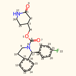 O=C1CC(COC(=O)N2CCc3ccccc3[C@@H]2c2ccc(F)cc2)CCN1